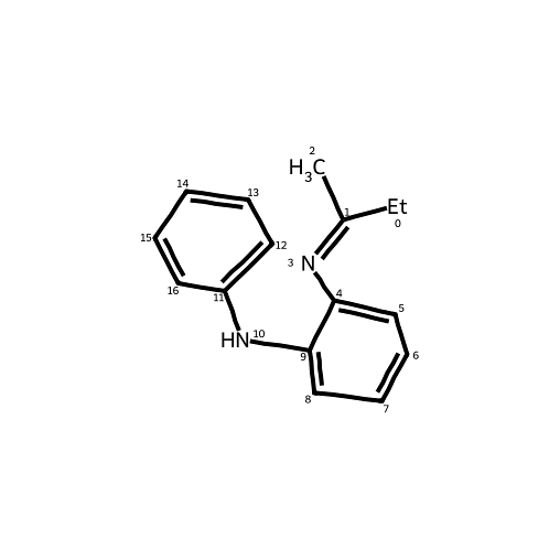 CC/C(C)=N\c1ccccc1Nc1ccccc1